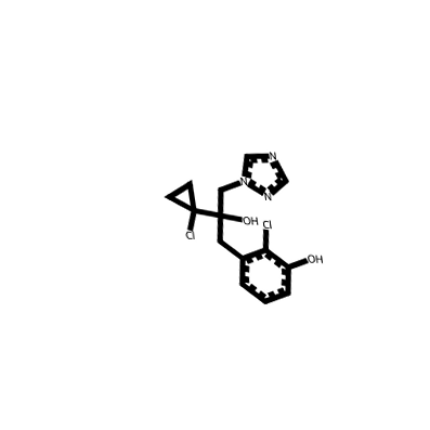 Oc1cccc(CC(O)(Cn2cncn2)C2(Cl)CC2)c1Cl